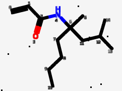 C=CC(=O)NC(C)(CCCC)CC(C)C